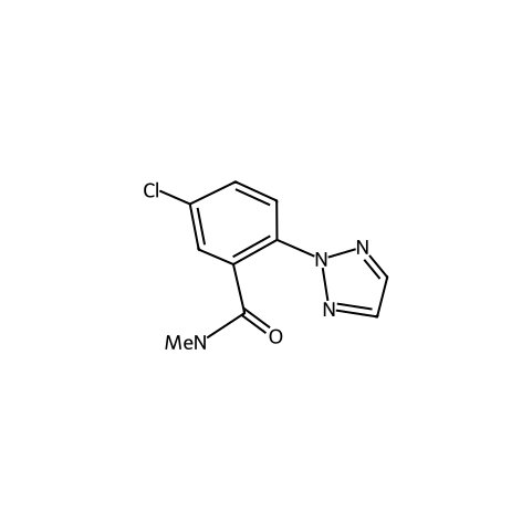 CNC(=O)c1cc(Cl)ccc1-n1nccn1